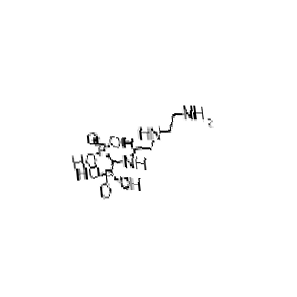 NCCNCCNC(P(=O)(O)O)P(=O)(O)O